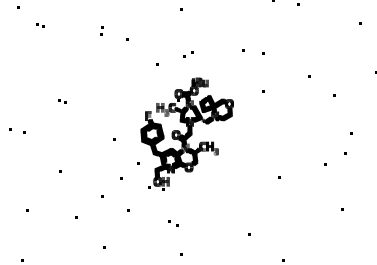 C[C@@H]1CN(CC(=O)N2c3cc(Cc4ccc(F)cc4)c(CO)nc3OC[C@@H]2C)[C@@H](CN2CCOCC23CCC3)CN1C(=O)OC(C)(C)C